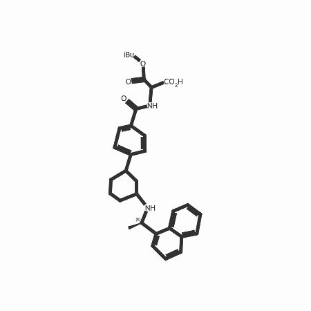 CCC(C)OC(=O)C(NC(=O)c1ccc(C2CCCC(N[C@H](C)c3cccc4ccccc34)C2)cc1)C(=O)O